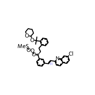 CSOOO[C@@H](CCc1ccccc1C(C)(C)OC1CCCCO1)c1cccc(/C=C/c2ccc3ccc(Cl)cc3n2)c1